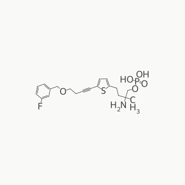 CC(N)(CCc1ccc(C#CCCOCc2cccc(F)c2)s1)COP(=O)(O)O